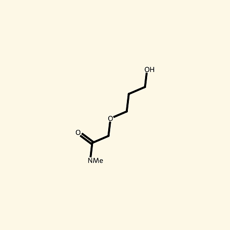 CNC(=O)COCCCO